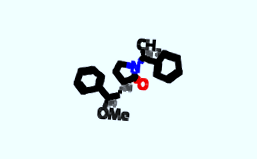 CO[C@H](C[C@@H]1CCN([C@@H](C)c2ccccc2)C1=O)c1ccccc1